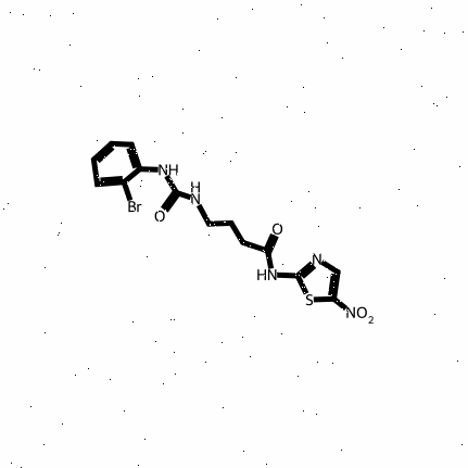 O=C(CCCNC(=O)Nc1ccccc1Br)Nc1ncc([N+](=O)[O-])s1